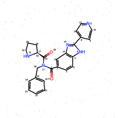 O=C(c1ccc2[nH]c(-c3ccncc3)nc2c1)N(Cc1ccccc1)C(=O)[C@@H]1CCCN1